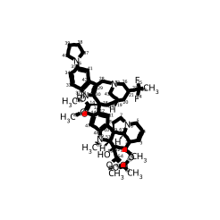 CC[C@]12C=CCN3CC[C@@]4(c5cc([C@@]6(C(=O)OC)C[C@H]7CC(C(C)(F)F)CN(Cc8c6[nH]c6ccc(N9CCCC9)cc86)C7)c(OC)cc5N(C)[C@H]4[C@@](O)(C(=O)OC)[C@@H]1OC(C)=O)[C@@H]32